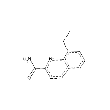 CCc1c[c]cc2ccc(C(N)=O)nc12